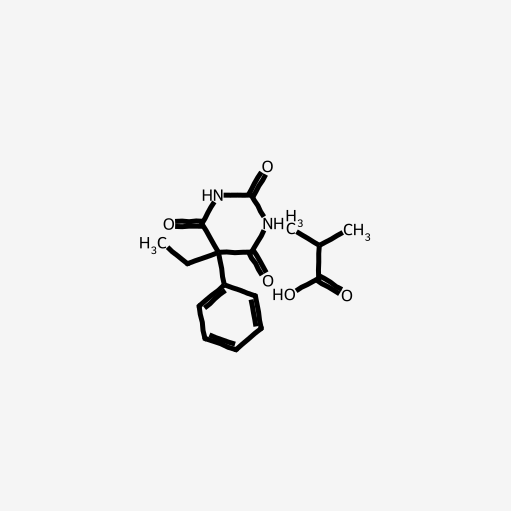 CC(C)C(=O)O.CCC1(c2ccccc2)C(=O)NC(=O)NC1=O